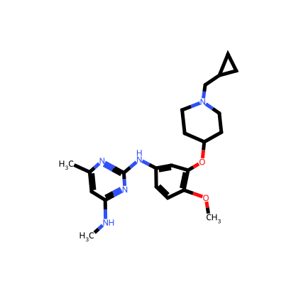 CNc1cc(C)nc(Nc2ccc(OC)c(OC3CCN(CC4CC4)CC3)c2)n1